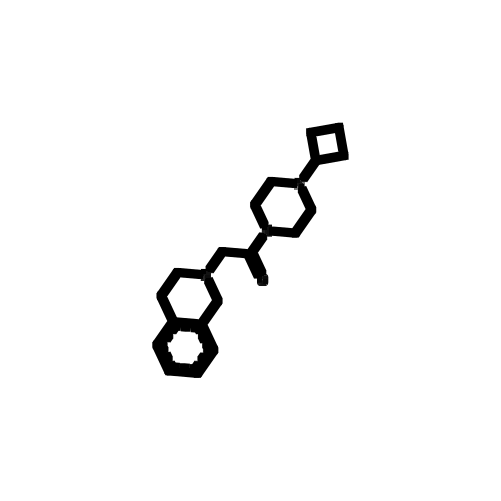 O=C(CN1CCc2ccccc2C1)N1CCN(C2CCC2)CC1